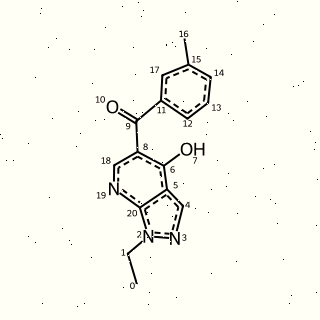 CCn1ncc2c(O)c(C(=O)c3cccc(C)c3)cnc21